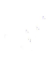 CCC[C@H](c1nc2ccc(F)cc2c(=O)n1CC1CC1)N1CCCN(C)CC1